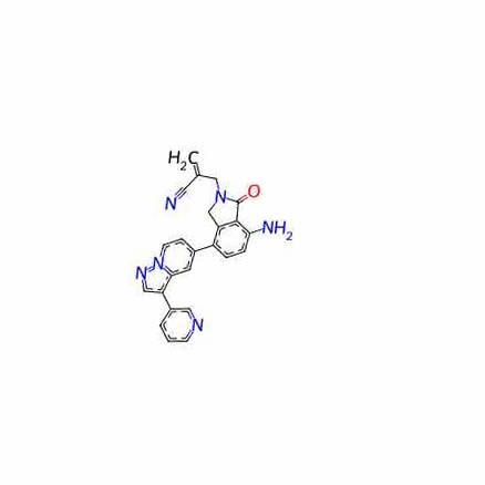 C=C(C#N)CN1Cc2c(-c3ccn4ncc(-c5cccnc5)c4c3)ccc(N)c2C1=O